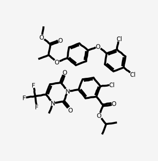 CC(C)OC(=O)c1cc(-n2c(=O)cc(C(F)(F)F)n(C)c2=O)ccc1Cl.COC(=O)C(C)Oc1ccc(Oc2ccc(Cl)cc2Cl)cc1